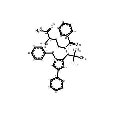 CC(C)(C)[C@H](c1nc(-c2ccccc2)cn1Cc1ccccc1)N(CC[C@@H](N)C(N)=O)C(=O)c1ccccc1